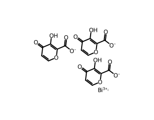 O=C([O-])c1occc(=O)c1O.O=C([O-])c1occc(=O)c1O.O=C([O-])c1occc(=O)c1O.[Bi+3]